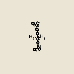 CC(C)(c1ccc(-c2ccc(-c3cc(-c4ccccn4)c4ccccc4n3)cc2)cc1)c1ccc(-c2ccc(-c3cc(-c4ccccn4)c4ccccc4n3)cc2)cc1